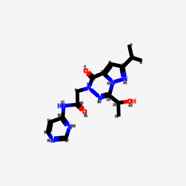 CC(C)c1cc2c(=O)n(CC(=O)Nc3ccncn3)nc(C(C)O)n2n1